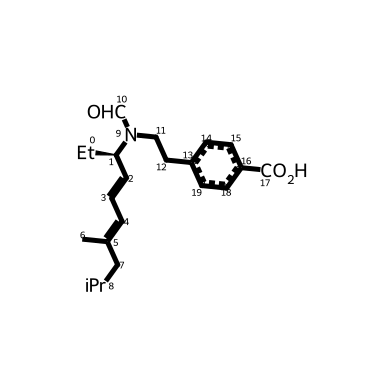 CC[C@H](/C=C/C=C(\C)CC(C)C)N(C=O)CCc1ccc(C(=O)O)cc1